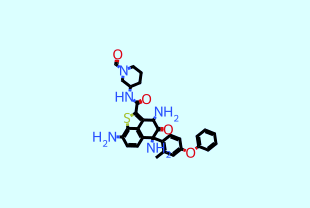 Cc1cc(Oc2ccccc2)ccc1C1(N)C(=O)C(N)c2c(C(=O)NC3CCCN(C=O)C3)sc3c(N)ccc1c23